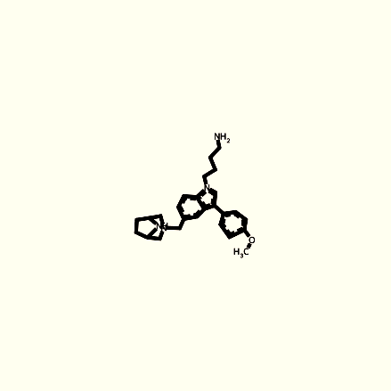 COc1ccc(-c2cn(CCCCN)c3ccc(CN4CC5CCC(C4)N5)cc23)cc1